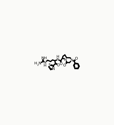 N=C(N)NCCCC(NC(=O)C1CCC2CN(C(=O)c3ccccc3)CC(=O)N21)C(=O)c1nccs1